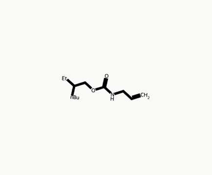 C=CCNC(=O)OCC(CC)CCCC